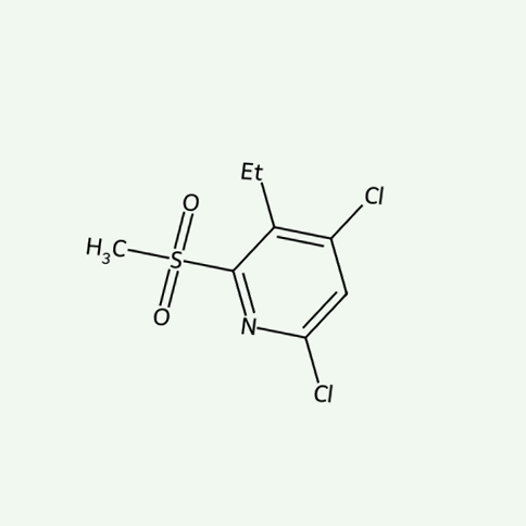 CCc1c(Cl)cc(Cl)nc1S(C)(=O)=O